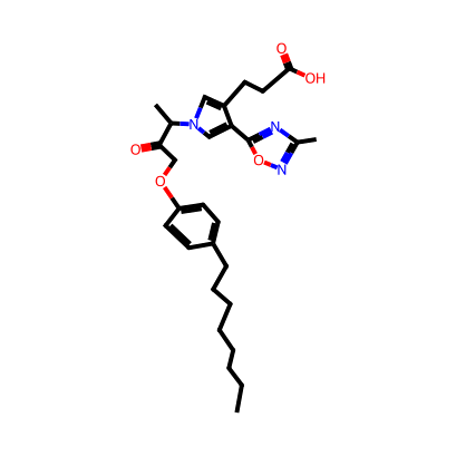 CCCCCCCCc1ccc(OCC(=O)C(C)n2cc(CCC(=O)O)c(-c3nc(C)no3)c2)cc1